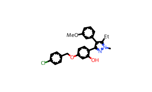 CCc1c(-c2cccc(OC)c2)c(-c2ccc(OCc3ccc(Cl)cc3)cc2O)nn1C